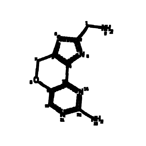 NCc1nc2c(s1)COc1cnc(N)nc1-2